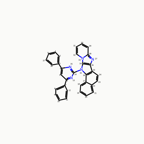 c1ccc(-c2cc(-c3ccccc3)nc(-n3c4c5ccccc5ccc4c4nc5ccccn5c43)n2)cc1